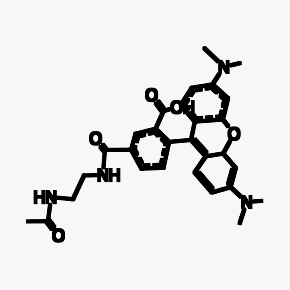 CC(=O)NCCNC(=O)c1ccc(C2=C3C=CC(N(C)C)=CC3Oc3cc(N(C)C)ccc32)c(C(=O)O)c1